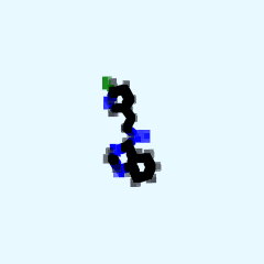 Fc1ccc(CCNc2ncnc3ccccc23)cn1